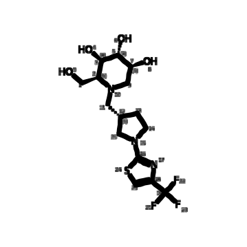 OC[C@H]1[C@@H](O)[C@H](O)[C@@H](O)CN1C[C@@H]1CCN(c2nc(C(F)(F)F)cs2)C1